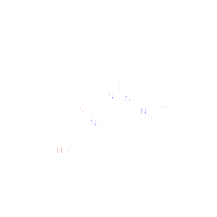 O=C(N1CCN(c2ccccc2Cl)CC1)N1CCC[C@@]2(CCN([C@H]3CC[C@H](O)CC3)C2=O)C1